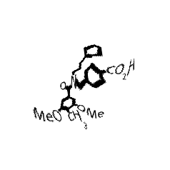 COc1cc(C(=O)N(CCCc2ccccc2)Cc2ccc(C(=O)O)cc2)cc(OC)c1C